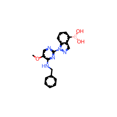 COc1cnc(-n2ncc3c(B(O)O)cccc32)nc1NCc1ccccc1